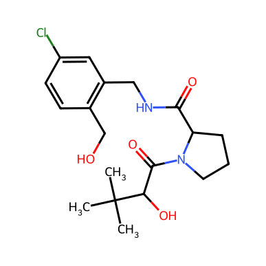 CC(C)(C)C(O)C(=O)N1CCCC1C(=O)NCc1cc(Cl)ccc1CO